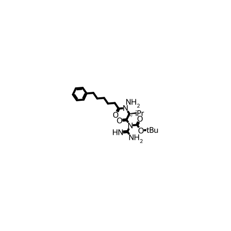 CC(C)[C@@H](C(=O)N(C(=N)N)C(=O)OC(C)(C)C)N(N)C(=O)CCCCCc1ccccc1